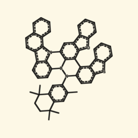 Cc1cc2c(cc1N1B3c4c(cc5c(oc6ccccc65)c4-c4c1ccc1sc5ccccc5c41)-n1c4c3cccc4c3ccc4ccccc4c31)C(C)(C)CCC2(C)C